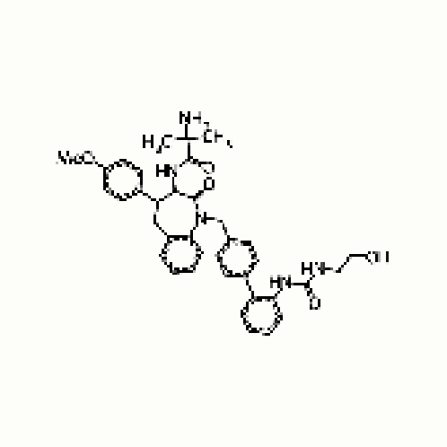 COc1ccc(C2Cc3ccccc3N(Cc3ccc(-c4ccccc4NC(=O)NCCO)cc3)C(=O)C2NC(=O)C(C)(C)N)cc1